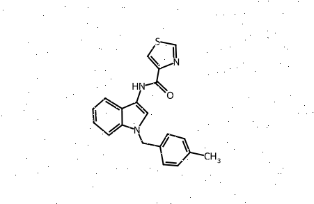 Cc1ccc(Cn2cc(NC(=O)c3cscn3)c3ccccc32)cc1